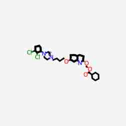 O=C(OCOc1ccc2ccc(OCCCCN3CCN(c4cccc(Cl)c4Cl)CC3)cc2n1)C1CCCCC1